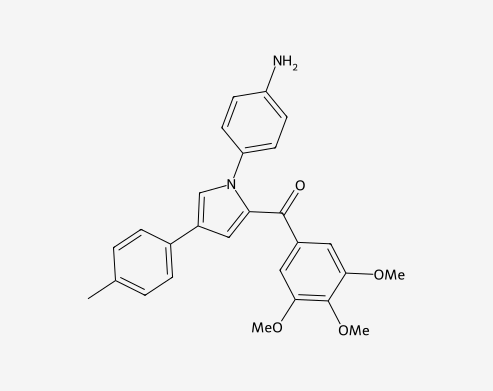 COc1cc(C(=O)c2cc(-c3ccc(C)cc3)cn2-c2ccc(N)cc2)cc(OC)c1OC